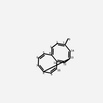 Cc1ccc2cccc3ccc-2cc3c1